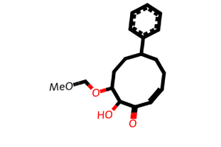 COCOC1CCC(c2ccccc2)CC/C=C\C(=O)C1O